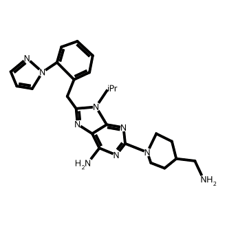 CC(C)n1c(Cc2ccccc2-n2cccn2)nc2c(N)nc(N3CCC(CN)CC3)nc21